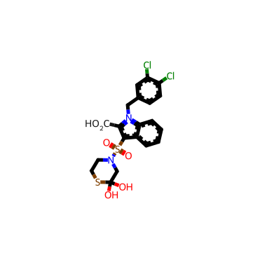 O=C(O)c1c(S(=O)(=O)N2CCSC(O)(O)C2)c2ccccc2n1Cc1ccc(Cl)c(Cl)c1